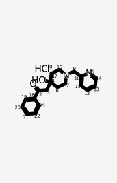 Cl.O=C(CC1(O)CCN(Cc2ccccn2)CC1)c1ccccc1